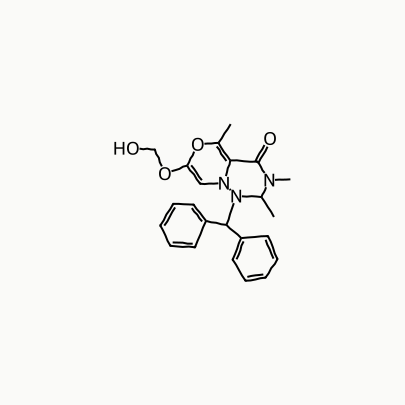 CC1=C2C(=O)N(C)C(C)N(C(c3ccccc3)c3ccccc3)N2C=C(OCO)O1